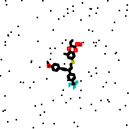 CCC(Oc1ccc(SC/C=C(\C#Cc2ccc(OC)cc2)c2ccc(C(F)(F)F)cc2)cc1C)C(=O)O